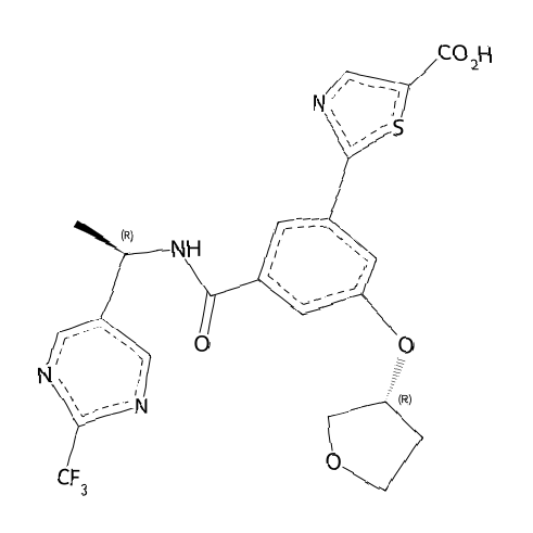 C[C@@H](NC(=O)c1cc(O[C@@H]2CCOC2)cc(-c2ncc(C(=O)O)s2)c1)c1cnc(C(F)(F)F)nc1